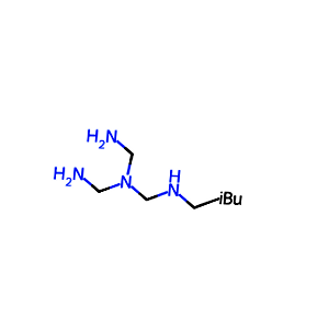 CCC(C)CNCN(CN)CN